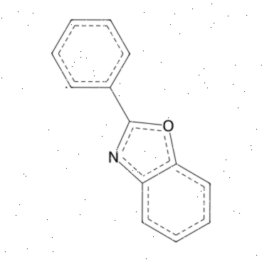 [c]1ccccc1-c1nc2ccccc2o1